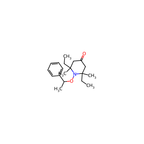 CCC1(C)CC(=O)CC(C)(CC)N1OC(C)c1ccccc1